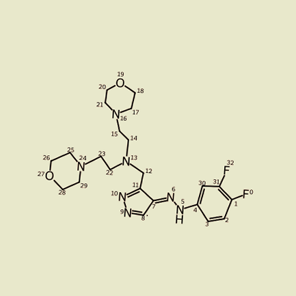 Fc1ccc(NN=C2[C]=NN=C2CN(CCN2CCOCC2)CCN2CCOCC2)cc1F